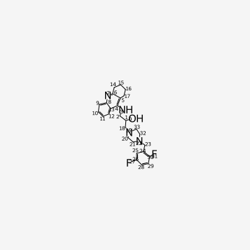 OC(CNc1c2c(nc3ccccc13)CCCC2)CN1CCN(Cc2cc(F)ccc2F)CC1